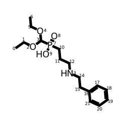 CCOC(OCC)P(=O)(O)CCCNCCc1ccccc1